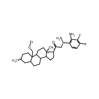 CCOCC12CC[C@H](C)CC1CCC1C2CC[C@]2(C)C(C(=O)CN(N)c3ccc(F)c(F)c3N)CCC12